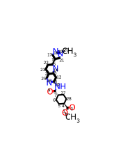 COC(=O)[C@H]1CC[C@H](C(=O)Nc2cc3nc(-c4cnn(C)c4)ccc3cn2)CC1